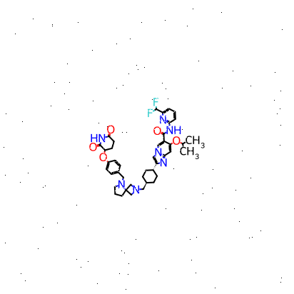 CC(C)Oc1cc2nc([C@H]3CC[C@H](CN4CC5(CCCN5Cc5ccc(OC6CCC(=O)NC6=O)cc5)C4)CC3)cn2cc1C(=O)Nc1cccc(C(F)F)n1